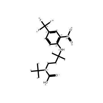 CC(C)(CCN(C(=O)O)C(C)(C)C)Nc1ccc(C(F)(F)F)cc1[N+](=O)[O-]